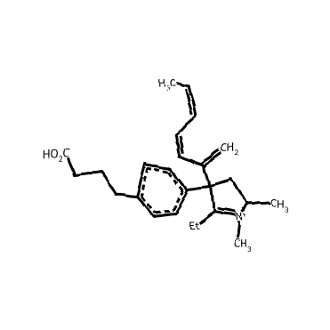 C=C(/C=C\C=C/C)C1(c2ccc(CCCC(=O)O)cc2)CC(C)[N+](C)=C1CC